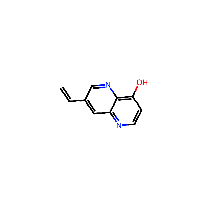 C=Cc1cnc2c(O)ccnc2c1